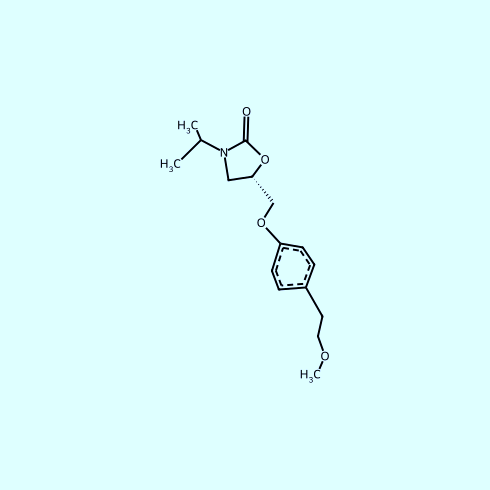 COCCc1ccc(OC[C@@H]2CN(C(C)C)C(=O)O2)cc1